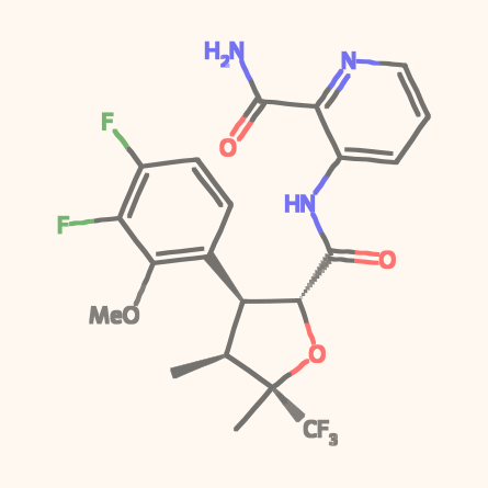 COc1c([C@H]2[C@H](C(=O)Nc3cccnc3C(N)=O)O[C@@](C)(C(F)(F)F)[C@H]2C)ccc(F)c1F